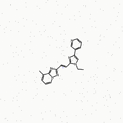 CCn1cc(-c2cccnc2)nc1/C=C/c1nc2c(C)cccn2n1